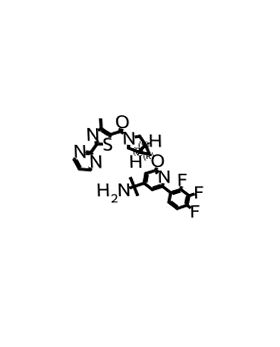 Cc1nc(-c2ncccn2)sc1C(=O)N1C[C@@H]2[C@H](C1)[C@@H]2Oc1cc(C(C)(C)N)cc(-c2ccc(F)c(F)c2F)n1